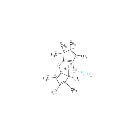 CC1=C(C)C(C)(C)[C]([Ti][C]2=C(C)C(C)=C(C)C2(C)C)=C1C.F.F